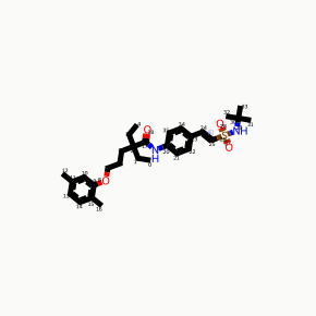 CCC(CC)(CCCOc1cc(C)ccc1C)C(=O)Nc1ccc(/C=C/S(=O)(=O)NC(C)(C)C)cc1